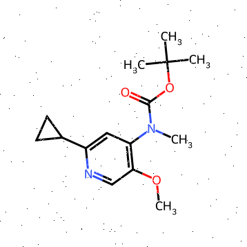 COc1cnc(C2CC2)cc1N(C)C(=O)OC(C)(C)C